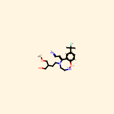 CCCOCC(CO)CCN1CCNOc2ccc(C(C)(C)F)cc2/C1=C/C=N